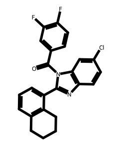 O=C(c1ccc(F)c(F)c1)n1c(-c2cccc3c2CCCC3)nc2ccc(Cl)cc21